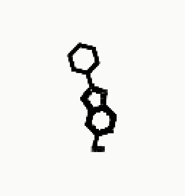 CNc1cc2cn(C3CCCCC3)nc2cn1